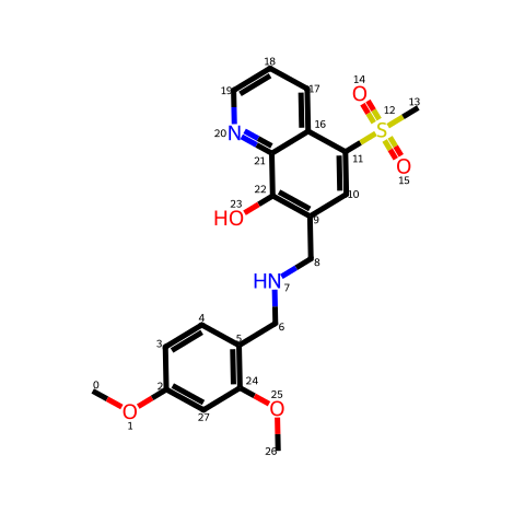 COc1ccc(CNCc2cc(S(C)(=O)=O)c3cccnc3c2O)c(OC)c1